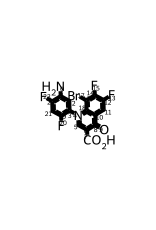 Nc1cc(-n2cc(C(=O)O)c(=O)c3cc(F)c(F)c(Br)c32)c(F)cc1F